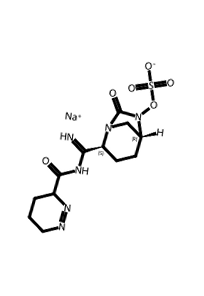 N=C(NC(=O)C1CCCN=N1)[C@@H]1CC[C@@H]2CN1C(=O)N2OS(=O)(=O)[O-].[Na+]